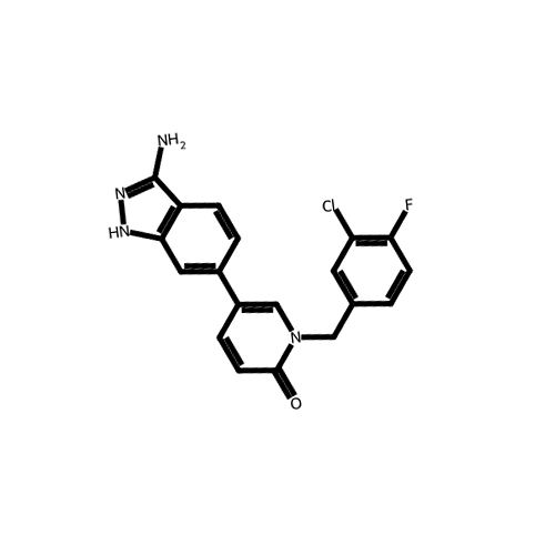 Nc1n[nH]c2cc(-c3ccc(=O)n(Cc4ccc(F)c(Cl)c4)c3)ccc12